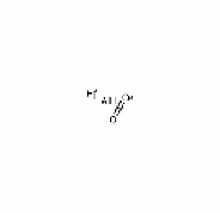 [AlH3].[Hf].[O]=[Ce]